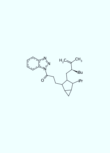 C=C(C)[C@H](CC1C(CCC(=O)n2nnc3ccccc32)C2CC2C1C(C)C)C(C)CC